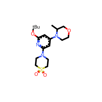 CC1COCCN1c1cc(OC(C)(C)C)nc(N2CCS(=O)(=O)CC2)c1